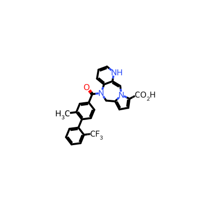 Cc1cc(C(=O)N2Cc3ccc(C(=O)O)n3C=C3NC=CC=C32)ccc1-c1ccccc1C(F)(F)F